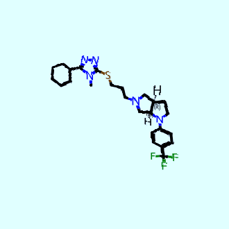 Cn1c(SCCCN2C[C@H]3CCN(c4ccc(C(F)(F)F)cc4)[C@H]3C2)nnc1C1CCCCC1